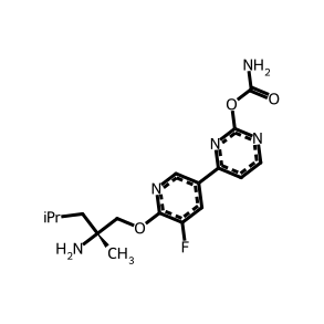 CC(C)C[C@@](C)(N)COc1ncc(-c2ccnc(OC(N)=O)n2)cc1F